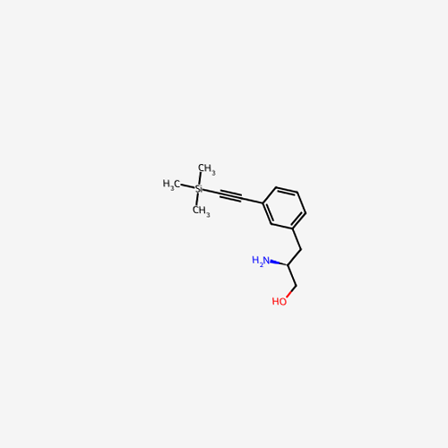 C[Si](C)(C)C#Cc1cccc(C[C@H](N)CO)c1